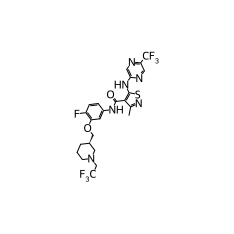 Cc1nsc(Nc2cnc(C(F)(F)F)cn2)c1C(=O)Nc1ccc(F)c(OC[C@@H]2CCCN(CC(F)(F)F)C2)c1